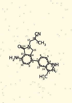 Cc1n[nH]c2ccc(-c3ccc(N)c4c3CN(CC(C)C#N)C4=O)cc12